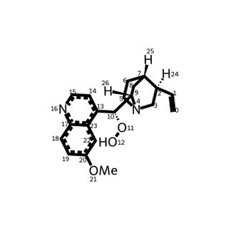 C=C[C@H]1CN2CC[C@H]1C[C@H]2[C@H](OO)c1ccnc2ccc(OC)cc12